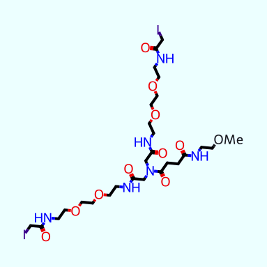 COCCNC(=O)CCC(=O)N(CC(=O)NCCOCCOCCNC(=O)CI)CC(=O)NCCOCCOCCNC(=O)CI